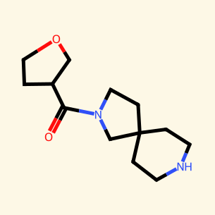 O=C(C1CCOC1)N1CCC2(CCNCC2)C1